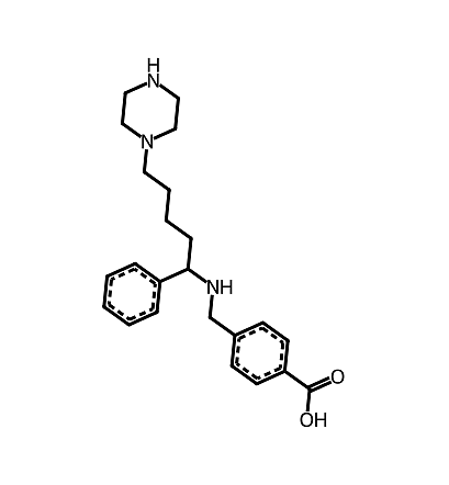 O=C(O)c1ccc(CNC(CCCCN2CCNCC2)c2ccccc2)cc1